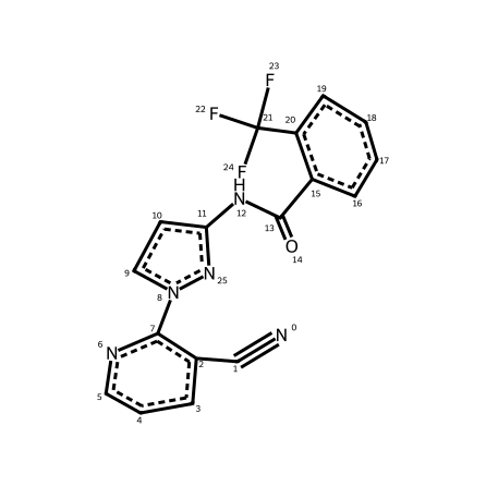 N#Cc1cccnc1-n1ccc(NC(=O)c2ccccc2C(F)(F)F)n1